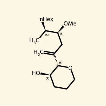 C=C(C[C@H](OC)[C@@H](C)CCCCCC)[C@@H]1OCCC[C@H]1O